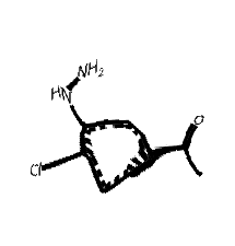 CC(=O)c1ccc(Cl)c(NN)c1